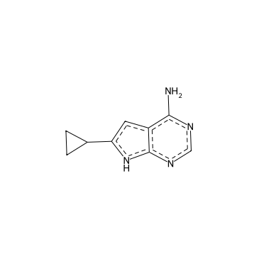 Nc1ncnc2[nH]c(C3CC3)cc12